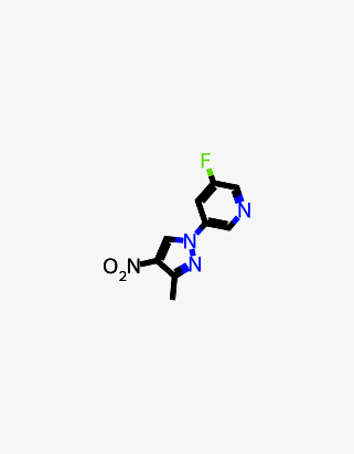 Cc1nn(-c2cncc(F)c2)cc1[N+](=O)[O-]